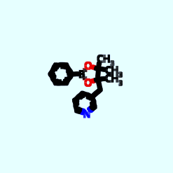 CC1(C)OB(c2ccccc2)OC1(C)Cc1cccnc1